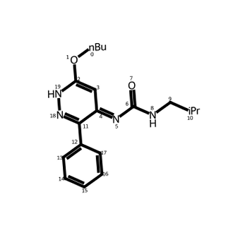 CCCCOc1cc(=NC(=O)NCC(C)C)c(-c2ccccc2)n[nH]1